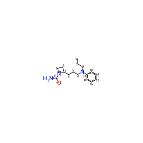 CCCN(CCCC1CCN1C(N)=O)c1ccccc1